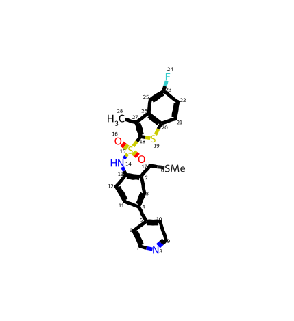 CSCc1cc(-c2ccncc2)ccc1NS(=O)(=O)c1sc2ccc(F)cc2c1C